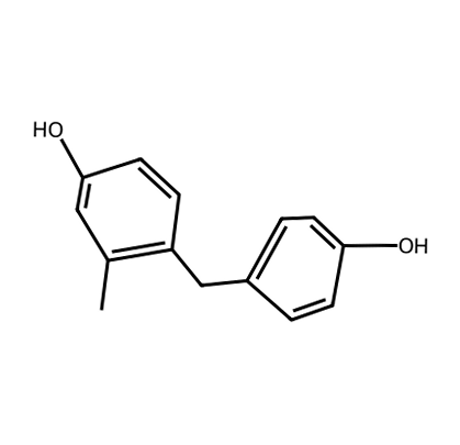 Cc1cc(O)ccc1Cc1ccc(O)cc1